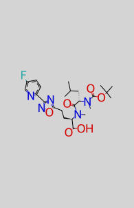 CC(C)C[C@@H](C(=O)N(C)[C@H](CCc1nc(-c2ccc(F)cn2)no1)C(=O)O)N(C)C(=O)OC(C)(C)C